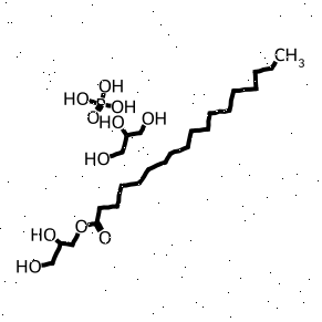 CCCCCCCCCCCCCCCCCC(=O)OCC(O)CO.O=P(O)(O)O.OCC(O)CO